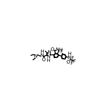 CCN(CC)CCNC(=O)c1[nH]c(-c2ccc(-c3ccc(NC(=O)C(F)(F)F)cc3F)c3c2C(=O)NC3)nc1C